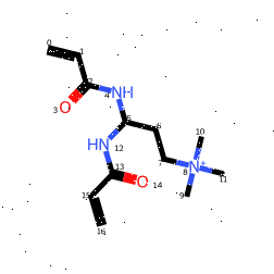 C=CC(=O)NC(CC[N+](C)(C)C)NC(=O)C=C